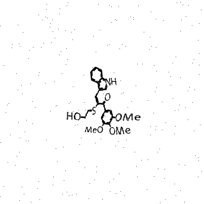 COc1cc(C(=O)/C(=C\c2c[nH]c3ccccc23)SCCO)cc(OC)c1OC